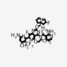 Cc1cc(N)nc(-c2nc3c4c(nc(OC[C@@]56CCCN5C[C@H](F)C6)nc4c2F)N(C(C)c2cccnc2N)[C@@H](C)CO3)c1C(F)(F)F